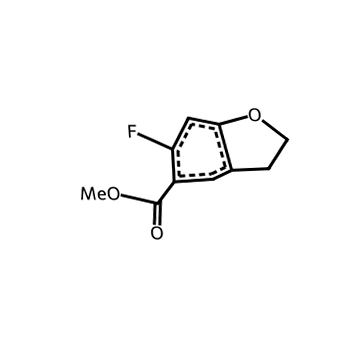 COC(=O)c1cc2c(cc1F)OCC2